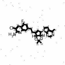 Cc1ncnc2c1ccn2[C@@H]1C=C(CCc2cc(F)c3cc(Cl)c(N)nc3c2)[C@H]2OC(C)(C)O[C@H]21